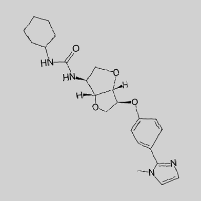 Cn1ccnc1-c1ccc(O[C@H]2CO[C@H]3[C@@H]2OC[C@@H]3NC(=O)NC2CCCCC2)cc1